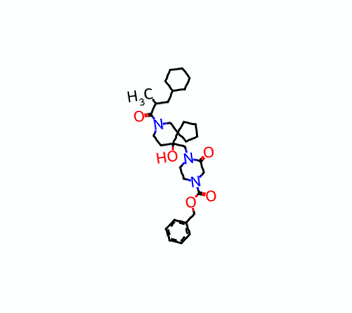 CC(CC1CCCCC1)C(=O)N1CCC(O)(CN2CCN(C(=O)OCc3ccccc3)CC2=O)C2(CCCC2)C1